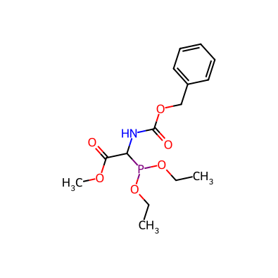 CCOP(OCC)C(NC(=O)OCc1ccccc1)C(=O)OC